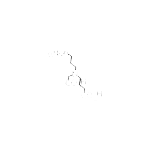 CCCCCCCCCCCCN(CCCC(=O)O)CC(=O)O